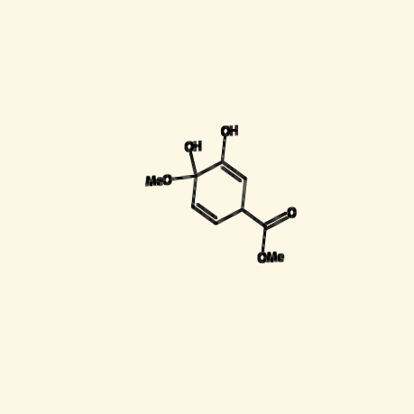 COC(=O)C1C=CC(O)(OC)C(O)=C1